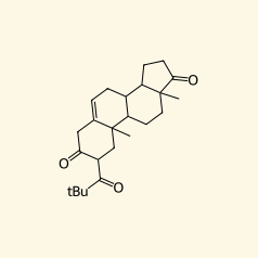 CC(C)(C)C(=O)C1CC2(C)C(=CCC3C4CCC(=O)C4(C)CCC32)CC1=O